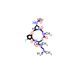 CCCCC(=O)N[C@@H]1C[C@H]2COc3ccc(F)cc3C(=O)N(C)[C@H](C(=O)N(C)CCN(C)C)CCC(=O)N(C)CC(=O)N2C1